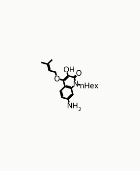 CCCCCCn1c(=O)c(O)c(OCC=C(C)C)c2ccc(N)cc21